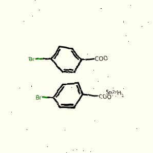 O=C([O-])c1ccc(Br)cc1.O=C([O-])c1ccc(Br)cc1.[SnH2+2]